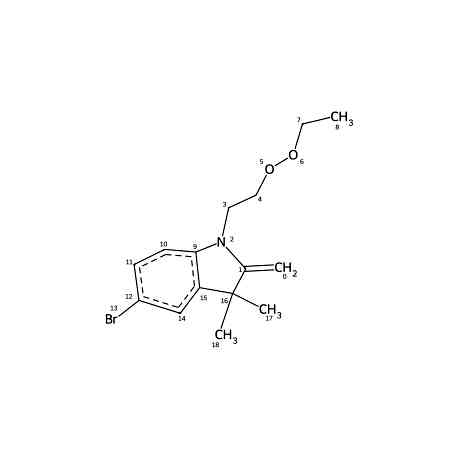 C=C1N(CCOOCC)c2ccc(Br)cc2C1(C)C